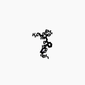 CCCC(=O)NC(CC(=O)c1ccccc1NC(=O)/C=C\C(=O)OC)C(=O)OC